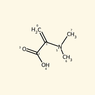 C=C(C(=O)O)N(C)C